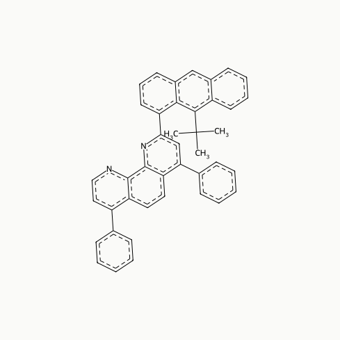 CC(C)(C)c1c2ccccc2cc2cccc(-c3cc(-c4ccccc4)c4ccc5c(-c6ccccc6)ccnc5c4n3)c12